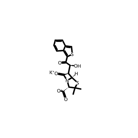 CC1(C)S[C@@H]2[C@H]([C@H](O)C(=O)c3scc4ccccc34)C(=O)N2[C@H]1C(=O)[O-].[K+]